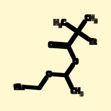 CCC(C)(C)C(=O)OC(C)OCC(C)(C)C